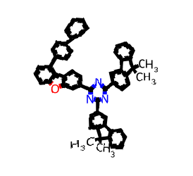 CC1(C)c2ccccc2-c2cc(-c3nc(-c4ccc5c(c4)-c4ccccc4C5(C)C)nc(-c4ccc5c(c4)oc4cccc(-c6ccc(-c7ccccc7)cc6)c45)n3)ccc21